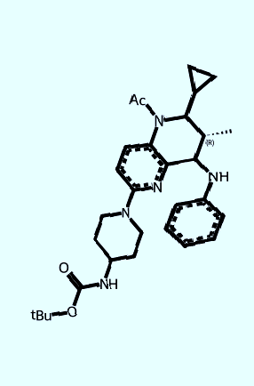 CC(=O)N1c2ccc(N3CCC(NC(=O)OC(C)(C)C)CC3)nc2C(Nc2ccccc2)[C@@H](C)C1C1CC1